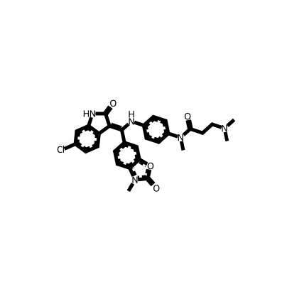 CN(C)CCC(=O)N(C)c1ccc(N/C(=C2\C(=O)Nc3cc(Cl)ccc32)c2ccc3c(c2)oc(=O)n3C)cc1